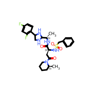 C[C@H](NC(=O)[C@H](CC(=O)N1CCCC[C@@H]1C)NS(=O)(=O)Cc1ccccc1)C1NCC(c2ccc(F)cc2F)N1